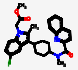 COC(=O)Cn1c(C)c(C2CCC(N(C)C(=O)c3ccc4ccccc4n3)CC2)c2cc(F)ccc21